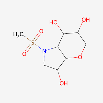 CS(=O)(=O)N1CC(O)C2OCC(O)C(O)C21